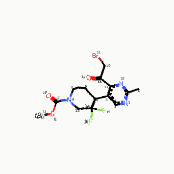 Cc1ncc(C2CCN(C(=O)OC(C)(C)C)CC2(F)F)c(C(=O)CBr)n1